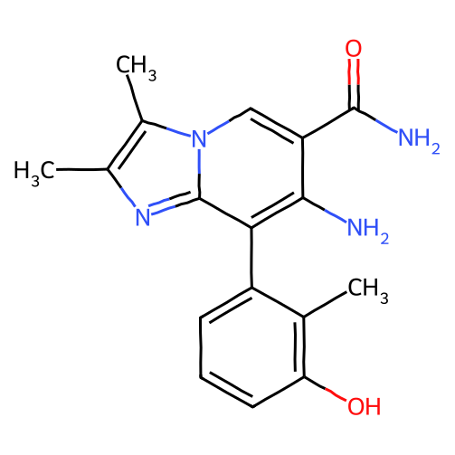 Cc1nc2c(-c3cccc(O)c3C)c(N)c(C(N)=O)cn2c1C